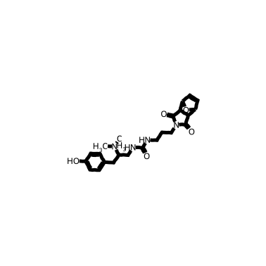 CN(C)C(CNC(=O)NCCCN1C(=O)C2C3C=CC(O3)C2C1=O)Cc1ccc(O)cc1